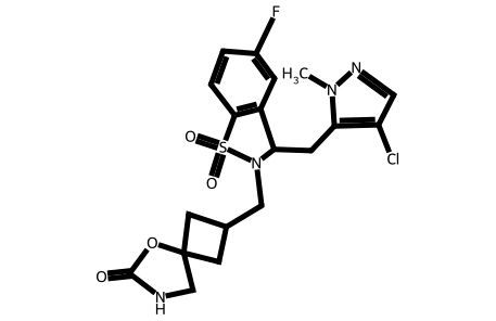 Cn1ncc(Cl)c1CC1c2cc(F)ccc2S(=O)(=O)N1CC1CC2(CNC(=O)O2)C1